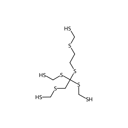 SCSCCSC(CSCS)(SCS)SCS